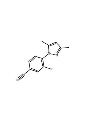 Cc1cc(C)n(-c2ccc(C#N)cc2F)n1